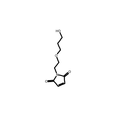 O=C1C=CC(=O)N1CCOCCCO